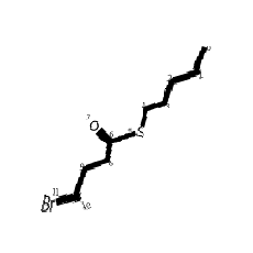 CCCCCSC(=O)CCCBr